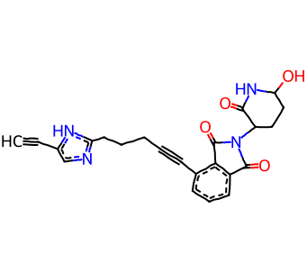 C#Cc1cnc(CCCC#Cc2cccc3c2C(=O)N(C2CCC(O)NC2=O)C3=O)[nH]1